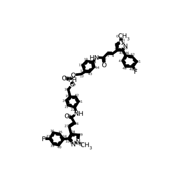 Cn1cc(/C=C/C(=O)Nc2ccc(CO[PH](=O)OCc3ccc(NC(=O)/C=C/c4cn(C)nc4-c4ccc(F)cc4)cc3)cc2)c(-c2ccc(F)cc2)n1